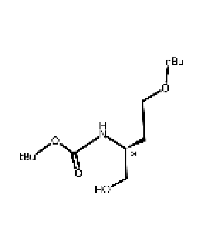 CCCCOCC[C@@H](CO)NC(=O)OC(C)(C)C